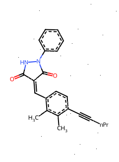 CCCC#Cc1ccc(C=C2C(=O)NN(c3ccccc3)C2=O)c(C)c1C